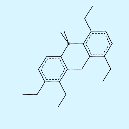 CCc1ccc(CC)c(Cc2c(CC)ccc(CC)c2CC)c1CC